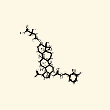 C=C(C)[C@@H]1CC[C@]2(CC(=O)NCc3cccc(F)c3F)CC[C@]3(C)[C@H](CC[C@@H]4[C@@]5(C)CC[C@H](OC(=O)CC(C)(C)C(=O)O)C(C)(C)[C@@H]5CC[C@]43C)[C@@H]12